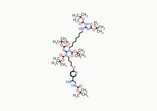 CC(C)(C)OC(=O)N=C(NCCCCCCCCN(C(=O)OC(C)(C)C)C(=NC(=O)OC(C)(C)C)N(CCCCOc1ccc(C(=N)CNC(=O)OC(C)(C)C)cn1)C(=O)OC(C)(C)C)NC(=O)OC(C)(C)C